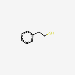 S[CH]Cc1ccccc1